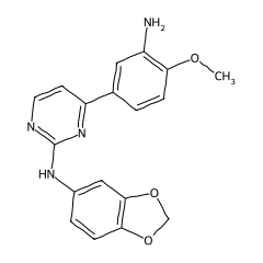 COc1ccc(-c2ccnc(Nc3ccc4c(c3)OCO4)n2)cc1N